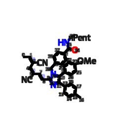 C\C=C(C#N)/C=C(C#N)\C=C\c1nc(-c2ccc(C)cc2)c(-c2ccc(OC)cc2)n1Cc1ccc(C(=O)NCCCCC)cc1